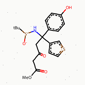 COC(=O)CC(=O)CC(N[S+]([O-])C(C)(C)C)(c1ccc(O)cc1)c1ccsc1